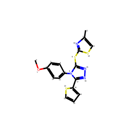 COc1ccc(-n2c(Sc3nc(C)cs3)nnc2-c2cccs2)cc1